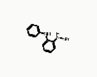 CCCNc1ccccc1Nc1ccccc1